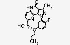 CCCOc1ccc(F)c(-n2nc(C)c3c(=O)[nH]c4ccc(C(=O)O)nc4c32)c1